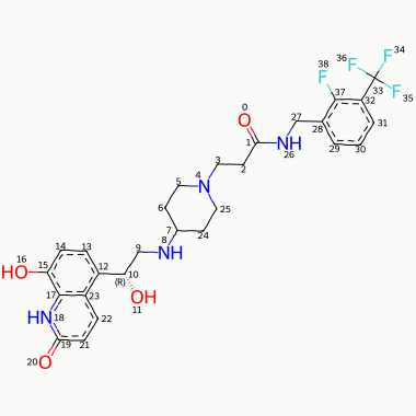 O=C(CCN1CCC(NC[C@H](O)c2ccc(O)c3[nH]c(=O)ccc23)CC1)NCc1cccc(C(F)(F)F)c1F